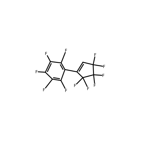 Fc1c(F)c(F)c(C2=CC(F)(F)C(F)(F)C2(F)F)c(F)c1F